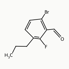 CCCc1ccc(Br)c(C=O)c1F